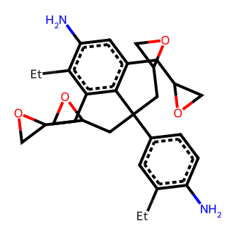 CCc1cc(C(CC2CO2)(CC2CO2)c2c(CC3CO3)cc(N)c(CC)c2CC2CO2)ccc1N